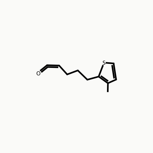 Cc1ccsc1CCCC=C=O